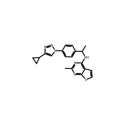 Cc1nc(NC(C)c2ccc(-n3cc(C4CC4)nn3)cc2)c2ccsc2n1